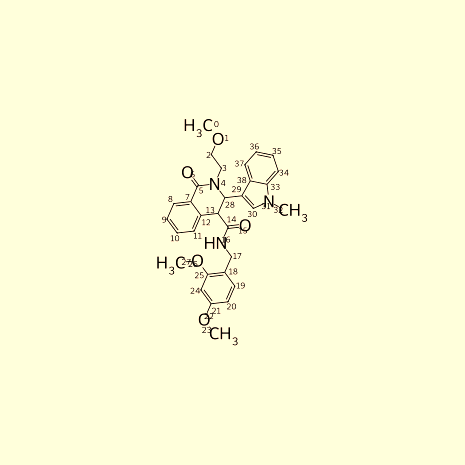 COCCN1C(=O)c2ccccc2C(C(=O)NCc2ccc(OC)cc2OC)C1c1cn(C)c2ccccc12